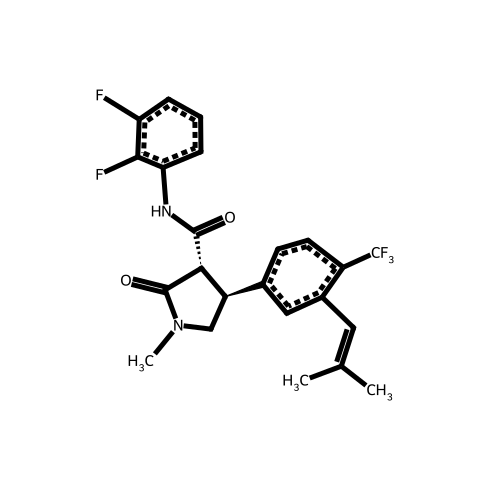 CC(C)=Cc1cc([C@H]2CN(C)C(=O)[C@@H]2C(=O)Nc2cccc(F)c2F)ccc1C(F)(F)F